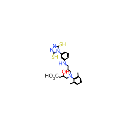 Cc1cccc(C)c1N(CCCNc1cccc(-n2c(S)nnc2S)c1)CC(O)CC(=O)O